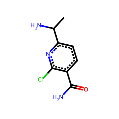 CC(N)c1ccc(C(N)=O)c(Cl)n1